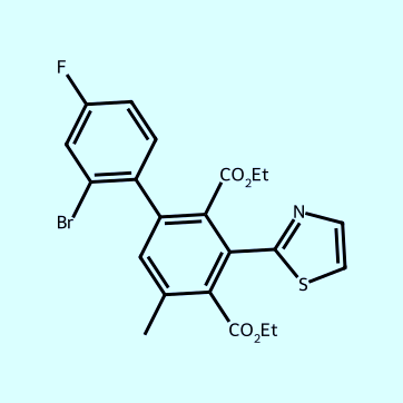 CCOC(=O)c1c(C)cc(-c2ccc(F)cc2Br)c(C(=O)OCC)c1-c1nccs1